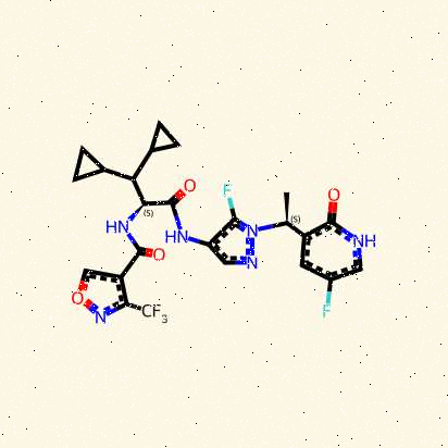 C[C@@H](c1cc(F)c[nH]c1=O)n1ncc(NC(=O)[C@@H](NC(=O)c2conc2C(F)(F)F)C(C2CC2)C2CC2)c1F